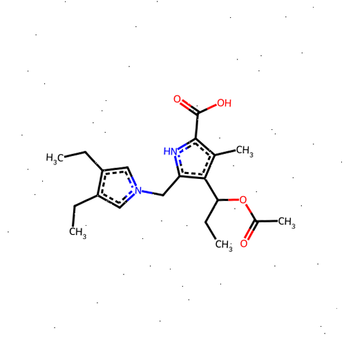 CCc1cn(Cc2[nH]c(C(=O)O)c(C)c2C(CC)OC(C)=O)cc1CC